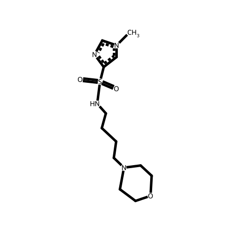 Cn1cnc(S(=O)(=O)NCCCCN2CCOCC2)c1